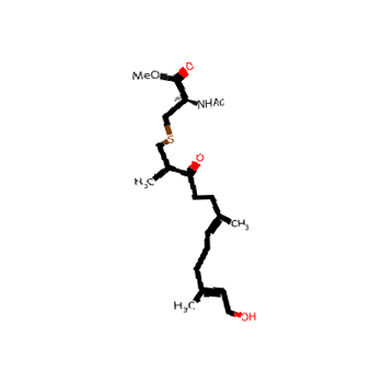 COC(=O)[C@H](CSCC(C)C(=O)CCC(C)=CCCC(C)=CCO)NC(C)=O